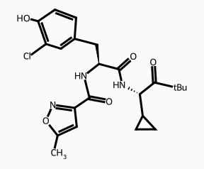 Cc1cc(C(=O)N[C@@H](Cc2ccc(O)c(Cl)c2)C(=O)N[C@H](C(=O)C(C)(C)C)C2CC2)no1